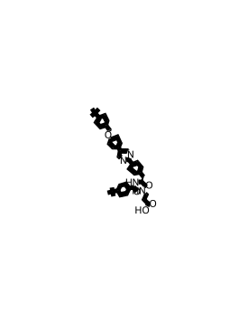 CC(C)(C)c1ccc(COc2ccc(-c3cnc(-c4ccc(C[C@H](NC(=O)C5=CCC(C(C)(C)C)C=C5)C(=O)NCCC(=O)O)cc4)nc3)cc2)cc1